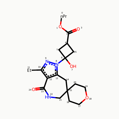 CCCOC(=O)C1CC(O)(n2nc(CC)c3c2CC2(CCOCC2)CNC3=O)C1